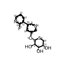 O[C@@H]1[C@@H](O)[C@@H](Oc2cncc(-c3cccnc3F)c2)SC[C@H]1O